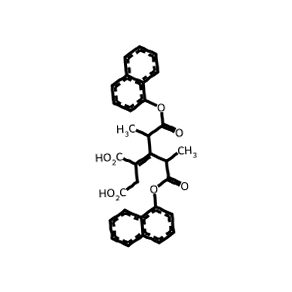 CC(C(=O)Oc1cccc2ccccc12)C(=C(CC(=O)O)C(=O)O)C(C)C(=O)Oc1cccc2ccccc12